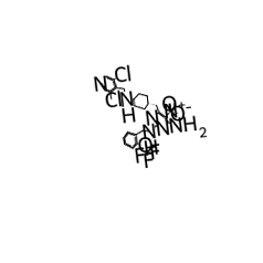 Nc1nc(NCc2ccccc2OC(F)(F)F)nc(C[C@H]2CC[C@H](NCc3c(Cl)cncc3Cl)CC2)c1[N+](=O)[O-]